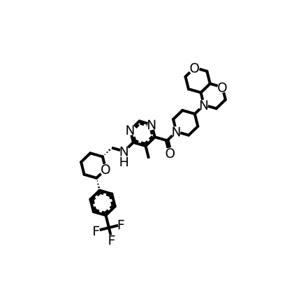 Cc1c(NC[C@H]2CCC[C@@H](c3ccc(C(F)(F)F)cc3)O2)ncnc1C(=O)N1CCC(N2CCOC3COCCC32)CC1